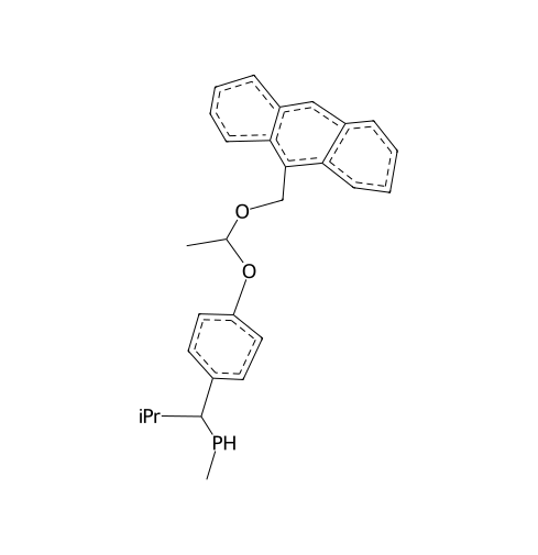 CPC(c1ccc(OC(C)OCc2c3ccccc3cc3ccccc23)cc1)C(C)C